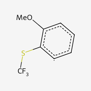 COc1ccc[c]c1SC(F)(F)F